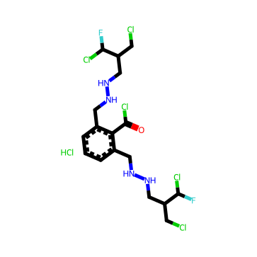 Cl.O=C(Cl)c1c(CNNCC(CCl)C(F)Cl)cccc1CNNCC(CCl)C(F)Cl